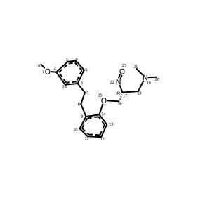 COc1cccc(CCc2ccccc2OC[C@@H](CN(C)C)N=O)c1